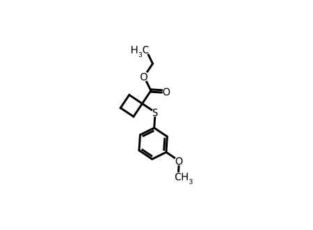 CCOC(=O)C1(Sc2cccc(OC)c2)CCC1